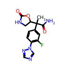 CC(C(N)=O)(c1ccc(-n2cncn2)c(F)c1)C1CNC(=O)O1